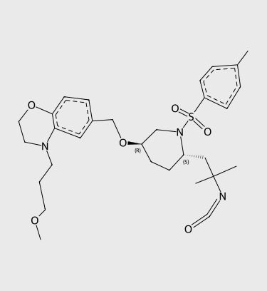 COCCCN1CCOc2ccc(CO[C@@H]3CC[C@@H](CC(C)(C)N=C=O)N(S(=O)(=O)c4ccc(C)cc4)C3)cc21